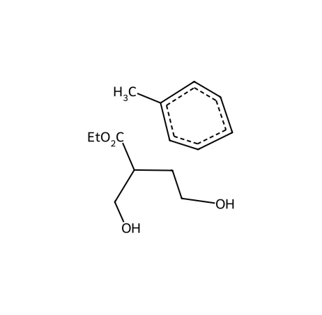 CCOC(=O)C(CO)CCO.Cc1ccccc1